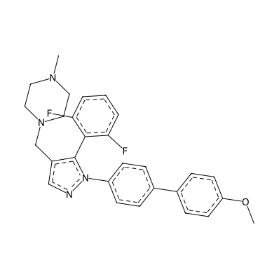 COc1ccc(-c2ccc(-n3ncc(CN4CCN(C)CC4)c3-c3c(F)cccc3F)cc2)cc1